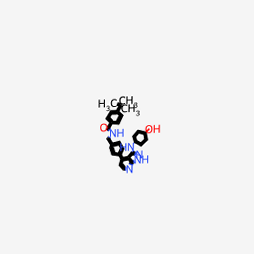 CC(C)(C)c1ccc(C(=O)NCc2ccc(-c3ccnc4[nH]nc(N[C@H]5CC[C@H](O)CC5)c34)cc2)cc1